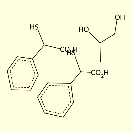 CC(O)CO.O=C(O)C(S)c1ccccc1.O=C(O)C(S)c1ccccc1